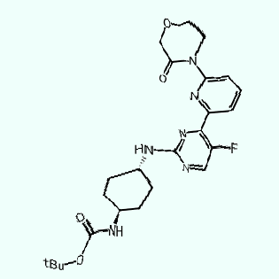 CC(C)(C)OC(=O)N[C@H]1CC[C@H](Nc2ncc(F)c(-c3cccc(N4CCOCC4=O)n3)n2)CC1